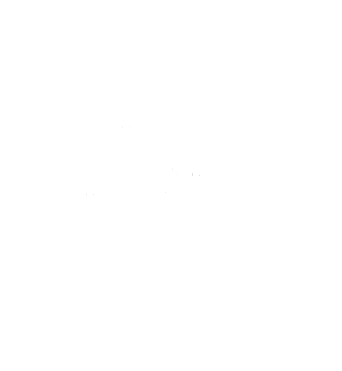 CCCOc1ccccc1C1C(O)COC1(c1cc(OC)c(OC)c(OC)c1)S(C)(=O)=O